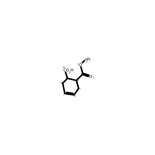 CCCOC(=O)C1CC=CCC1C(=O)O